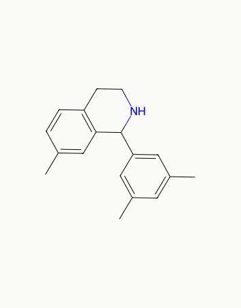 Cc1cc(C)cc(C2NCCc3ccc(C)cc32)c1